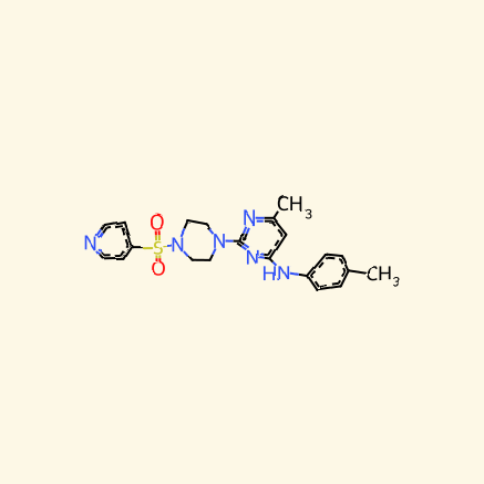 Cc1ccc(Nc2cc(C)nc(N3CCN(S(=O)(=O)c4ccncc4)CC3)n2)cc1